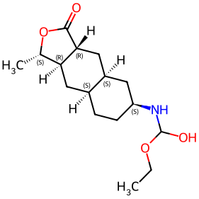 CCOC(O)N[C@H]1CC[C@H]2C[C@H]3[C@H](C)OC(=O)[C@@H]3C[C@H]2C1